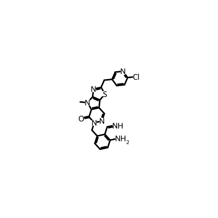 Cn1c2nc(Cc3ccc(Cl)nc3)sc2c2cnn(Cc3cccc(N)c3C=N)c(=O)c21